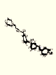 O=C(NCCCN1CCOCC1)c1cccc(Nc2cccc(/C=C/c3ccncc3)c2)c1